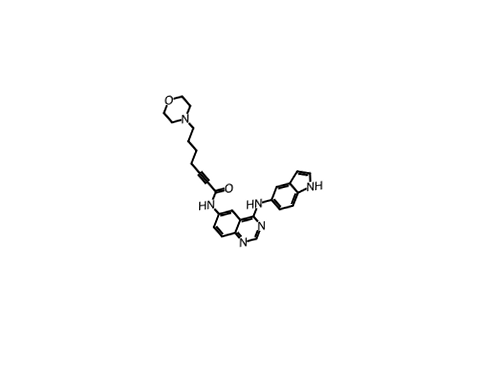 O=C(C#CCCCCN1CCOCC1)Nc1ccc2ncnc(Nc3ccc4[nH]ccc4c3)c2c1